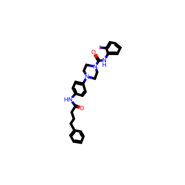 O=C(CCCc1ccccc1)Nc1ccc(N2CCN(C(=O)Nc3ccccc3I)CC2)cc1